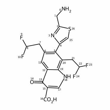 NCc1nc(-c2c(CC(F)F)cc3c(=O)c(C(=O)O)c[nH]c3c2CC(F)F)cs1